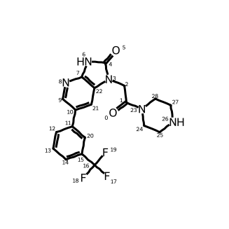 O=C(Cn1c(=O)[nH]c2ncc(-c3cccc(C(F)(F)F)c3)cc21)N1CCNCC1